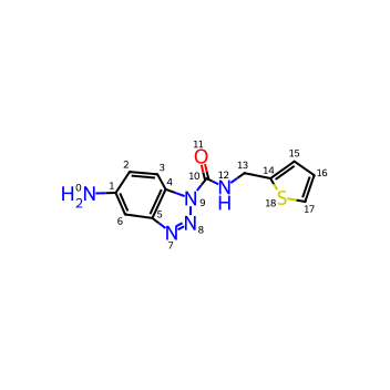 Nc1ccc2c(c1)nnn2C(=O)NCc1cccs1